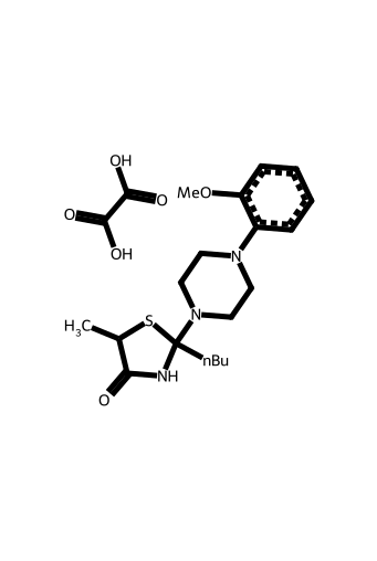 CCCCC1(N2CCN(c3ccccc3OC)CC2)NC(=O)C(C)S1.O=C(O)C(=O)O